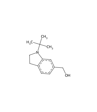 CC(C)(C)N1CCc2ccc(CO)cc21